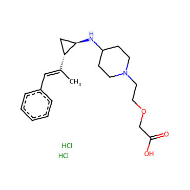 C/C(=C\c1ccccc1)[C@@H]1C[C@H]1NC1CCN(CCOCC(=O)O)CC1.Cl.Cl